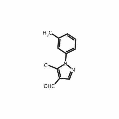 Cc1cccc(-n2ncc(C=O)c2Cl)c1